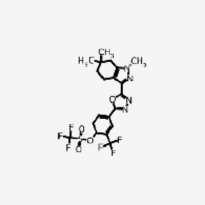 Cn1nc(-c2nnc(C3=CCC(OS(=O)(=O)C(F)(F)F)C(C(F)(F)F)=C3)o2)c2c1CC(C)(C)CC2